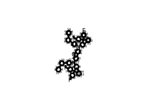 C=CC1=CCC(C2(C3CC=C(F)CC3)C3=C(CCC(N(C4=CC=C(C5=CC=CC(C6C=CCCC6)C5)CC4)C4C=CC5=C(C4)OC4C=C(N(C6=CCC(C7=CC(c8ccccc8)CCC7)CC6)C6CCC7=C(C6)C(C6=CCC(C=C)C=C6)(c6ccc(F)cc6)c6ccccc67)C=CC54)=C3)C3=C2CCCC3)CC1